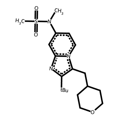 CN(c1ccn2c(CC3CCOCC3)c(C(C)(C)C)nc2c1)S(C)(=O)=O